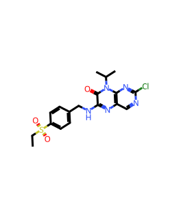 CCS(=O)(=O)c1ccc(CNc2nc3cnc(Cl)nc3n(C(C)C)c2=O)cc1